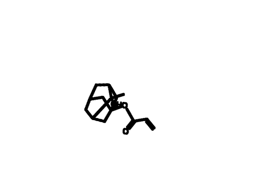 C=CC(=O)OC12CC3CC(C1)C(C)(O)C(C3)C2